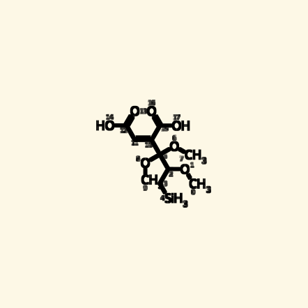 COC(C[SiH3])C(OC)(OC)/C(=C/C(=O)O)C(=O)O